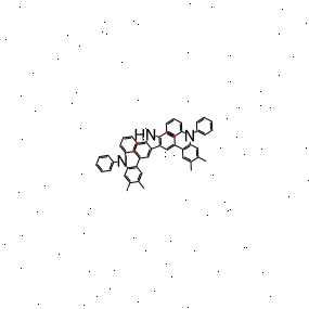 Cc1cc(-c2ccc3[nH]c4ccc(-c5cc(C)c(C)cc5N(c5ccccc5)c5ccccc5)cc4c3c2)c(N(c2ccccc2)c2ccccc2)cc1C